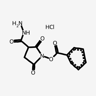 Cl.NNC(=O)C1CC(=O)N(OC(=O)c2ccccc2)C1=O